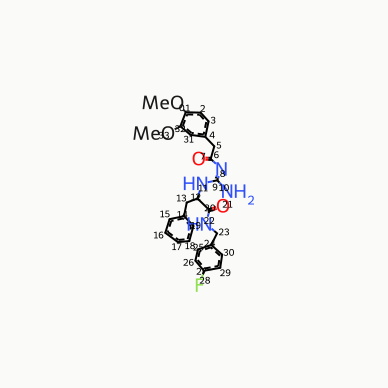 COc1ccc(CC(=O)N=C(N)NC(Cc2ccccc2)C(=O)NCc2ccc(F)cc2)cc1OC